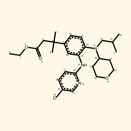 CCOC(=O)CC(C)(C)c1ccc(N(CC(C)C)C2CCOCC2)c(Nc2ccc(Cl)cn2)c1